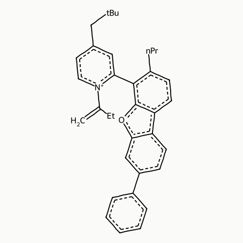 C=C(CC)[n+]1ccc(CC(C)(C)C)cc1-c1c(CCC)ccc2c1oc1cc(-c3ccccc3)ccc12